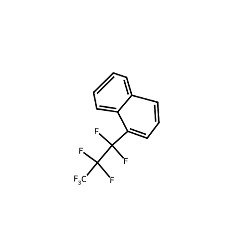 FC(F)(F)C(F)(F)C(F)(F)c1cccc2ccccc12